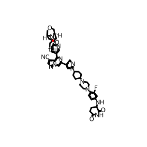 CC(C)(C)CC(=O)N1[C@@H]2COC[C@H]1CN(c1ccc(-c3nc(-c4cnn(C5CCC(N6CCN(c7ccc(NC8CCC(=O)NC8=O)cc7F)CC6)CC5)c4)cn4ncc(C#N)c34)cn1)C2